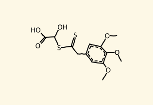 COc1cc(CC(=S)SC(O)C(=O)O)cc(OC)c1OC